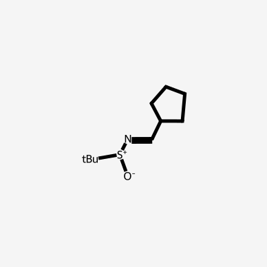 CC(C)(C)[S+]([O-])N=CC1CCCC1